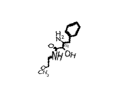 COCCNC(=O)C(O)[C@@H](N)Cc1ccccc1